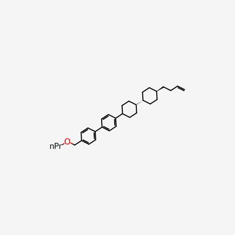 C=CCC[C@H]1CC[C@H](C2CCC(c3ccc(-c4ccc(COCCC)cc4)cc3)CC2)CC1